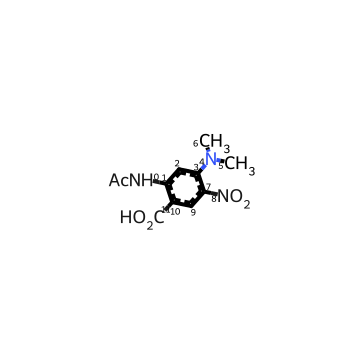 CC(=O)Nc1cc(N(C)C)c([N+](=O)[O-])cc1C(=O)O